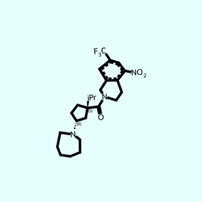 CC(C)[C@]1(C(=O)N2CCc3c(cc(C(F)(F)F)cc3[N+](=O)[O-])C2)CC[C@@H](N2CCCCCC2)C1